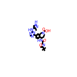 Cc1n[nH]cc1Nc1ncnc(-c2ccc3c(c2)CN(C(=O)O)CC[C@H]3NC(=O)c2nc(C(C)(C)C)co2)n1